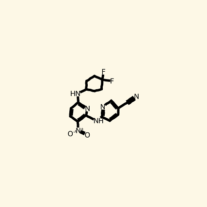 N#Cc1ccc(Nc2nc(NC3CCC(F)(F)CC3)ccc2[N+](=O)[O-])nc1